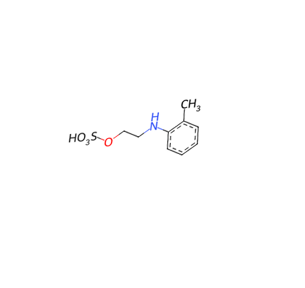 Cc1ccccc1NCCOS(=O)(=O)O